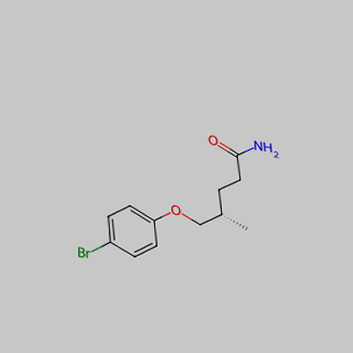 C[C@@H](CCC(N)=O)COc1ccc(Br)cc1